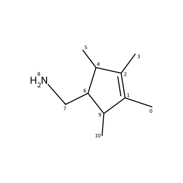 CC1=C(C)C(C)C(CN)C1C